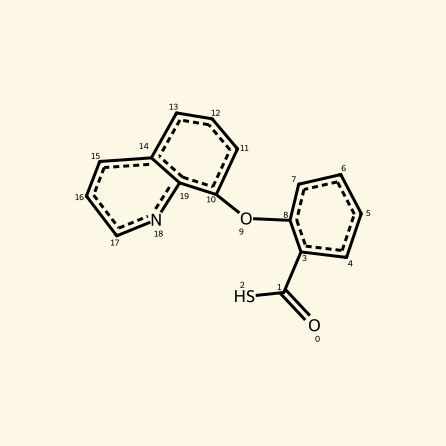 O=C(S)c1ccccc1Oc1cccc2cccnc12